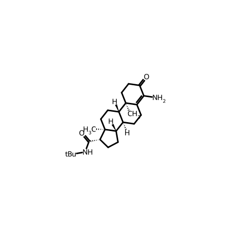 CC(C)(C)NC(=O)[C@H]1CC[C@H]2[C@@H]3CCC4=C(N)C(=O)CC[C@]4(C)[C@H]3CC[C@]12C